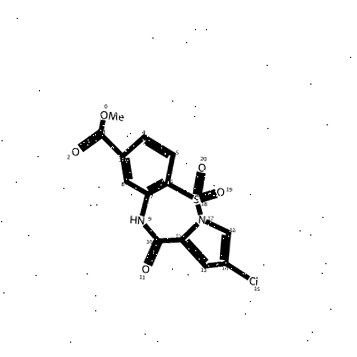 COC(=O)c1ccc2c(c1)NC(=O)c1cc(Cl)cn1S2(=O)=O